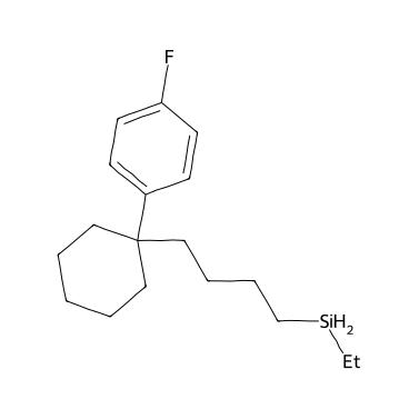 CC[SiH2]CCCCC1(c2ccc(F)cc2)CCCCC1